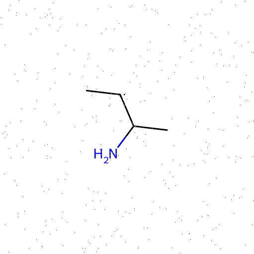 C[CH]C(C)N